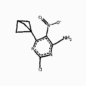 Nc1nc(Cl)nc(C23CC(C2)C3)c1[N+](=O)[O-]